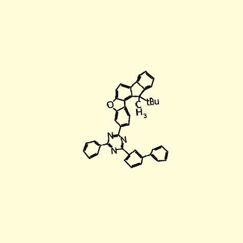 CC(C)(C)C1(C)c2ccccc2-c2ccc3oc4cc(-c5nc(-c6ccccc6)nc(-c6cccc(-c7ccccc7)c6)n5)ccc4c3c21